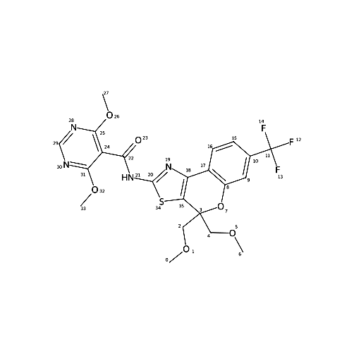 COCC1(COC)Oc2cc(C(F)(F)F)ccc2-c2nc(NC(=O)c3c(OC)ncnc3OC)sc21